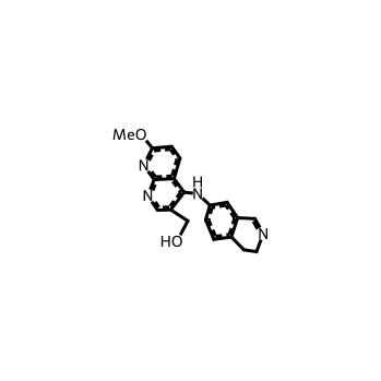 COc1ccc2c(Nc3ccc4c(c3)C=NCC4)c(CO)cnc2n1